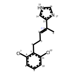 C/C(=C\CCc1c(Cl)cccc1Cl)c1c[nH]cn1